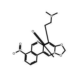 CN(C)CCC1CC2=C3OCON3C=C3c4cccc([N+](=O)[O-])c4C=NC32CC1=O